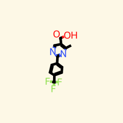 Cc1nc(-c2ccc(C(F)(F)F)cc2)ncc1C(=O)O